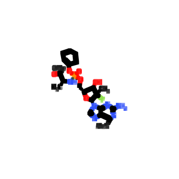 CNc1nc(N)nc2c1ncn2[C@@H]1O[C@H](CO[P@@](=O)(N[C@H](C)C(=O)OC)Oc2ccccc2)[C@@H](O)[C@@]1(C)F